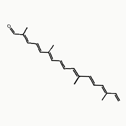 C=C/C(C)=C/C=C/C(C)=C/C=C/C=C(C)/C=C/C=C(\C)C=O